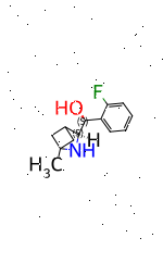 CC12CC(C1)[C@@H]([C@@H](O)c1ccccc1F)N2